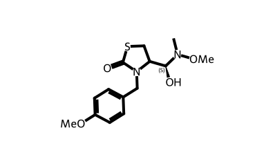 COc1ccc(CN2C(=O)SCC2[C@H](O)N(C)OC)cc1